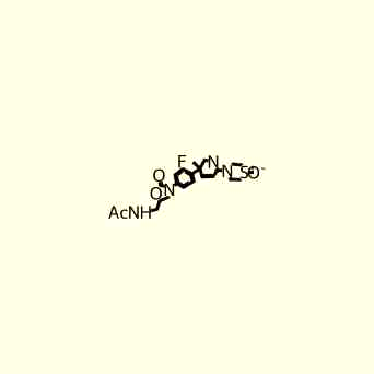 CC(=O)NCC1CN(c2ccc(C3(C)C=CC(N4CC[S+]([O-])CC4)=NC3)c(F)c2)C(=O)O1